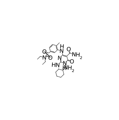 CCN(CC)S(=O)(=O)c1ccc(C)c(Nc2nc(N[C@H]3CCCC[C@@H]3N)[nH]c(=O)c2C(N)=O)c1